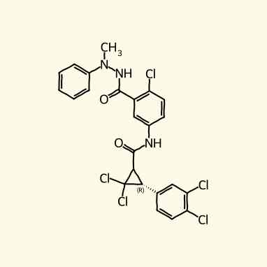 CN(NC(=O)c1cc(NC(=O)C2[C@H](c3ccc(Cl)c(Cl)c3)C2(Cl)Cl)ccc1Cl)c1ccccc1